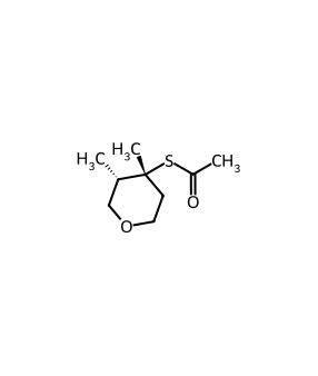 CC(=O)S[C@]1(C)CCOC[C@@H]1C